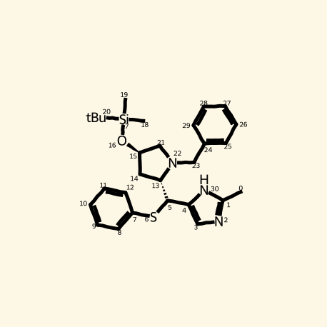 Cc1ncc(C(Sc2ccccc2)[C@@H]2C[C@@H](O[Si](C)(C)C(C)(C)C)CN2Cc2ccccc2)[nH]1